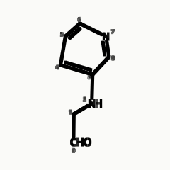 O=CCNc1cccnc1